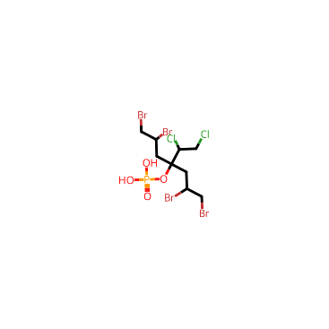 O=P(O)(O)OC(CC(Br)CBr)(CC(Br)CBr)C(Cl)CCl